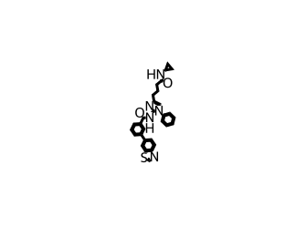 O=C(CCCc1cn(-c2ccccc2)c(NC(=O)c2cccc(-c3ccc4ncsc4c3)c2)n1)NC1CC1